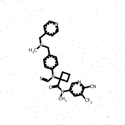 CN(Cc1ccncc1)Cc1ccc(N(C=S)C2(C(=O)N(C)c3cnc(C#N)c(C(F)(F)F)c3)CCC2)cc1